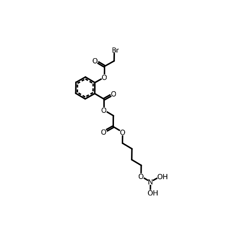 O=C(COC(=O)c1ccccc1OC(=O)CBr)OCCCCON(O)O